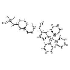 CC(C)(C)[Si](C)(C)Oc1ccc2cc(C(=O)c3cn(C(c4ccccc4)(c4ccccc4)c4ccccc4)cn3)ccc2c1